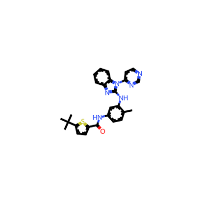 Cc1ccc(NC(=O)c2ccc(C(C)(C)C)s2)cc1Nc1nc2ccccc2n1-c1ccncn1